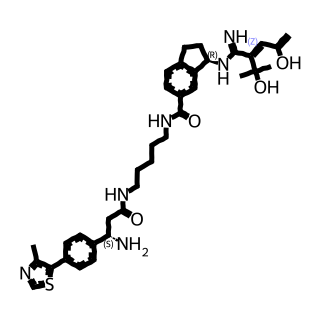 C=C(O)/C=C(/C(=N)N[C@@H]1CCc2ccc(C(=O)NCCCCCNC(=O)C[C@H](N)c3ccc(-c4scnc4C)cc3)cc21)C(C)(C)O